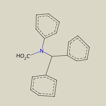 O=C(O)N(c1ccccc1)C(c1ccccc1)c1ccccc1